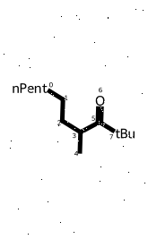 CCCCCCCC(C)C(=O)C(C)(C)C